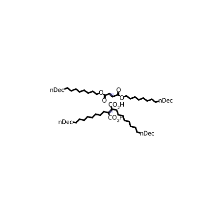 CCCCCCCCCCCCCCCCCC/C(C(=O)O)=C(/CCCCCCCCCCCCCCCCCC)C(=O)O.CCCCCCCCCCCCCCCCCCOC(=O)/C=C/C(=O)OCCCCCCCCCCCCCCCCCC